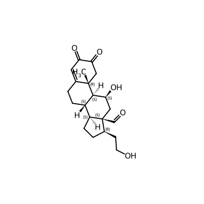 C[C@]12CC(=O)C(=O)C=C1CC[C@@H]1[C@@H]2[C@@H](O)C[C@]2(C=O)[C@@H](CCO)CC[C@@H]12